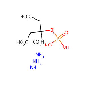 N.N.N.O=C(O)CC(CC(=O)O)(OP(=O)(O)O)C(=O)O